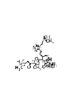 CCC(C)CC(=O)OC(C)OC(=O)C1=C(CSc2nnnn2CCN(C)C)CS[C@H]2[C@H](N)C(=O)N12.Cl.Cl